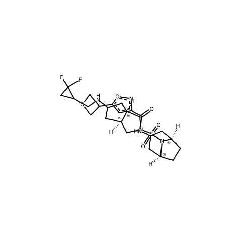 O=C(NC1C[C@H]2CC[C@@H](C1)N2S(=O)(=O)N1C[C@H]2CC(NCC3CC3(F)F)C[C@H]2C1)c1cc(C2COC2)on1